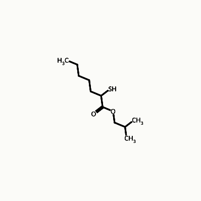 CCCCCC(S)C(=O)OCC(C)C